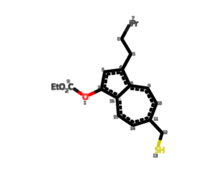 CCOC(=O)Oc1cc(CCC(C)C)c2ccc(CS)ccc1-2